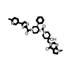 Cc1ccc(-c2cnc(C(=O)N3CC[C@@H](C(=O)N4CCC(O)(Cn5cnc6c(ccn6C)c5=O)CC4)[C@H](c4ccccc4)C3)s2)cn1